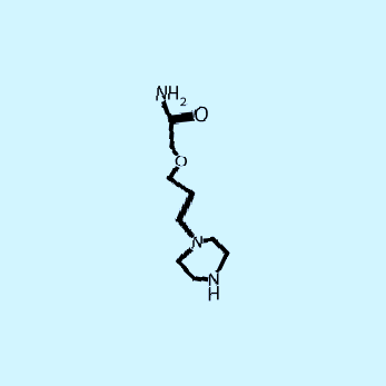 NC(=O)COCCCN1CCNCC1